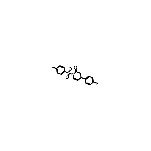 Cc1ccc(S(=O)(=O)N2C=CC(c3ccc(F)cc3)CC2=O)cc1